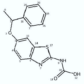 CC(Oc1ccc2nc(NC(=O)O)sc2c1)c1ccccc1